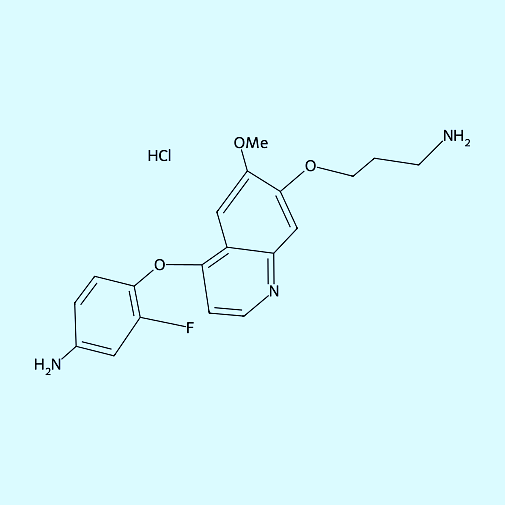 COc1cc2c(Oc3ccc(N)cc3F)ccnc2cc1OCCCN.Cl